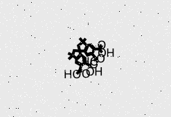 CC1(C)CC2(CC(C)(C)c3cc(C(=O)O)c(C(=O)O)cc32)c2cc(C(=O)O)c(C(=O)O)cc21